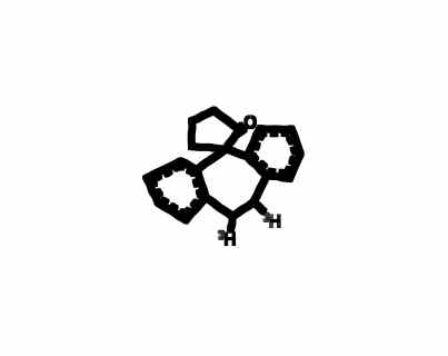 [3H]C1c2ccccc2C2(CCCC2=O)c2ccccc2C1[3H]